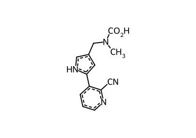 CN(Cc1c[nH]c(-c2cccnc2C#N)c1)C(=O)O